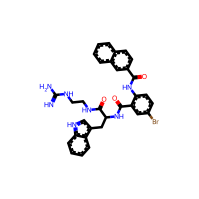 N=C(N)NCCNC(=O)C(Cc1c[nH]c2ccccc12)NC(=O)c1cc(Br)ccc1NC(=O)c1ccc2ccccc2c1